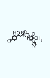 Cc1c(-n2ccnc2)cnn(Cc2nc(C[C@H](O)c3ccc(Cl)cc3)no2)c1=O